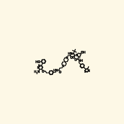 Cc1ncsc1-c1ccc(CNC(=O)[C@@H]2C[C@@H](O)CN2C(=O)[C@@H](NC(=O)CN2CCC3(CCN(CCC(=O)NCc4ccc(CCOc5cc(-c6ccccc6O)nnc5N)cc4)CC3)CC2)C(C)(C)C)cc1